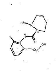 CCCCN1CCCC[C@H]1C(=O)Nc1c(C)cccc1C.O=C(O)O